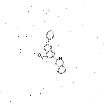 O/N=c1/cc(-c2cc3ccccc3cn2)oc2cc(-c3ccccc3)ccc12